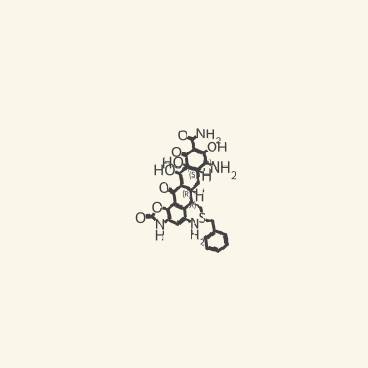 NC(=O)C1=C(O)[C@@H](N)[C@@H]2C[C@H]3C(=C(O)[C@]2(O)C1=O)C(=O)c1c(c(N)cc2[nH]c(=O)oc12)[C@@H]3CSCc1ccccc1